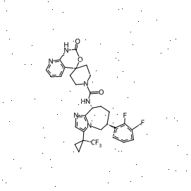 O=C1Nc2ncccc2C2(CCN(C(=O)N[C@@H]3CC[C@@H](c4cccc(F)c4F)Cn4c(C5(C(F)(F)F)CC5)cnc43)CC2)O1